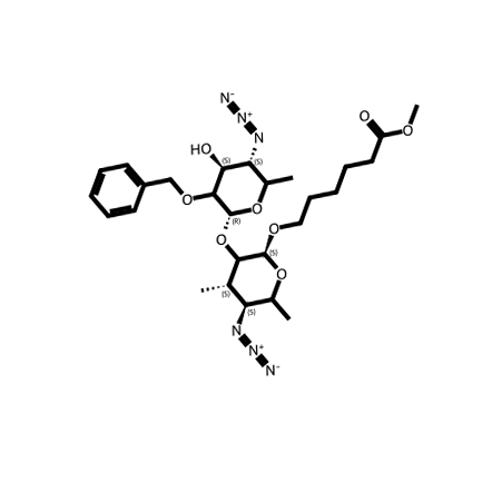 COC(=O)CCCCCO[C@H]1OC(C)[C@@H](N=[N+]=[N-])[C@H](C)C1O[C@H]1OC(C)[C@@H](N=[N+]=[N-])[C@H](O)C1OCc1ccccc1